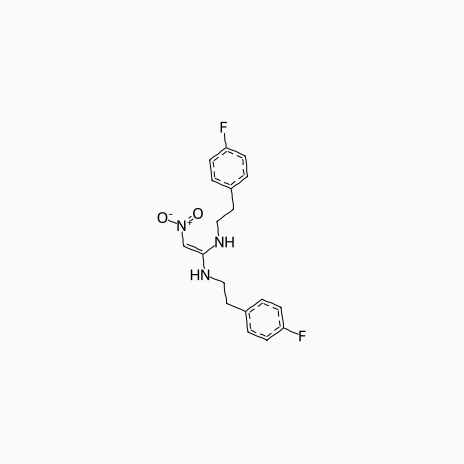 O=[N+]([O-])C=C(NCCc1ccc(F)cc1)NCCc1ccc(F)cc1